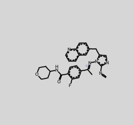 C=Nc1ncc(Cc2ccc3ncccc3c2)n1/N=C(\C)c1ccc(C(=O)NC2CCOCC2)c(F)c1